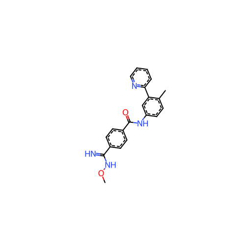 CONC(=N)c1ccc(C(=O)Nc2ccc(C)c(-c3ccccn3)c2)cc1